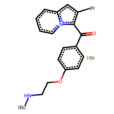 Br.CC(C)c1cc2ccccn2c1C(=O)c1ccc(OCCNC(C)(C)C)cc1